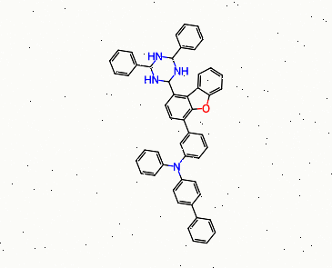 c1ccc(-c2ccc(N(c3ccccc3)c3cccc(-c4ccc(C5NC(c6ccccc6)NC(c6ccccc6)N5)c5c4oc4ccccc45)c3)cc2)cc1